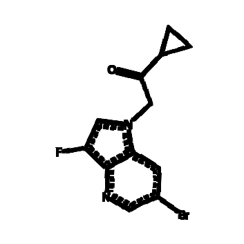 O=C(Cn1cc(F)c2ncc(Br)cc21)C1CC1